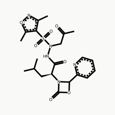 CC(=O)CN(NC(=O)[C@H](CC(C)C)N1C(=O)OC1c1ccccn1)S(=O)(=O)c1c(C)noc1C